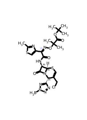 Bn1nnc([C@H]2C(CCl)=CS[C@@H]3[C@H](NC(=O)/C(=N\OC(C)(C)C(=O)OC(C)(C)C)c4csc(C)n4)C(=O)N23)n1